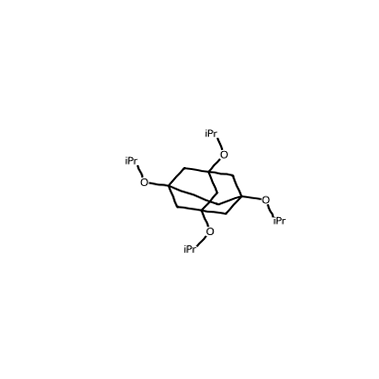 CC(C)OC12CC3(OC(C)C)CC(OC(C)C)(C1)CC(OC(C)C)(C2)C3